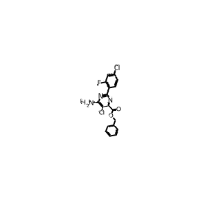 Nc1nc(-c2ccc(Cl)cc2F)nc(C(=O)OCc2ccccc2)c1Cl